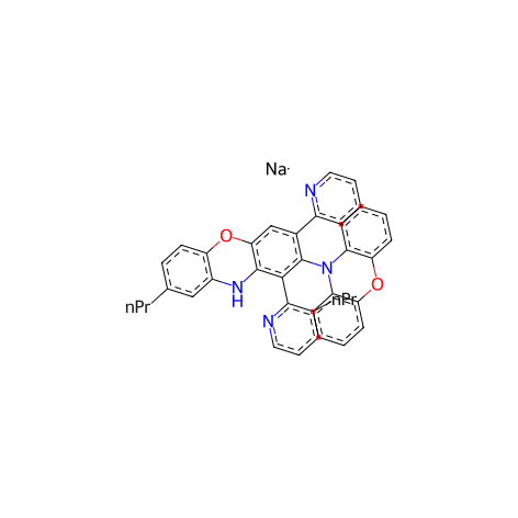 CCCc1ccc2c(c1)Nc1c(cc(-c3ccccn3)c(N3c4ccccc4Oc4ccccc43)c1-c1ncccc1CCC)O2.[Na]